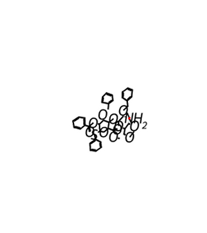 COC(=O)C1OC(Sc2ccccc2)C(OC(=O)c2ccccc2)C(OCc2ccccc2)C1OC(OC1COCO[C@H]1C)[C@@H](N)OCc1ccccc1